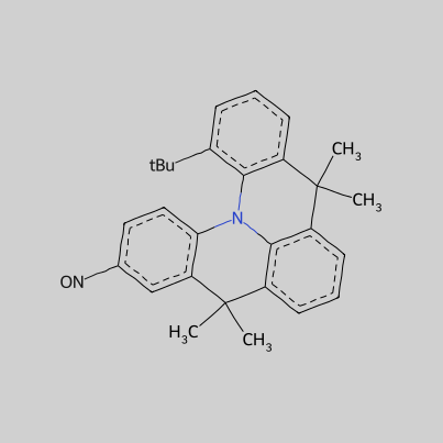 CC(C)(C)c1cccc2c1N1c3ccc(N=O)cc3C(C)(C)c3cccc(c31)C2(C)C